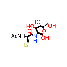 CC(=O)N[C@@H](CS)C(=O)N[C@@H]1[C@@H](O)[C@H](O)[C@@H](CO)O[C@@H]1O